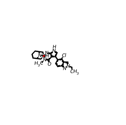 CCn1cc2c(Cl)c(-c3c[nH]c4nc(N5C6CCCC5CNC6)n(C)c(=O)c34)ccc2n1